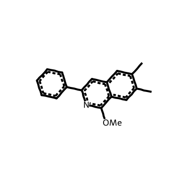 COc1nc(-c2ccccc2)cc2cc(C)c(C)cc12